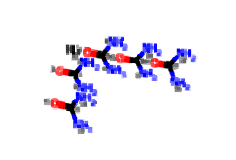 NC(N)=O.NC(N)=O.NC(N)=O.NC(N)=O.NC(N)=O.[LiH]